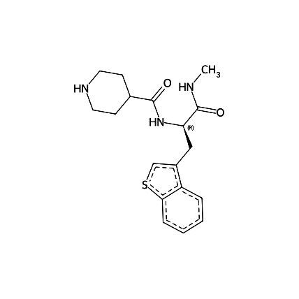 CNC(=O)[C@@H](Cc1csc2ccccc12)NC(=O)C1CCNCC1